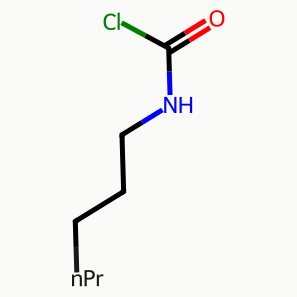 CCCCCCNC(=O)Cl